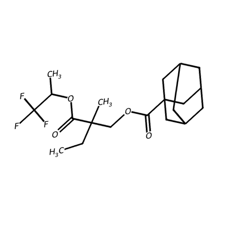 CCC(C)(COC(=O)C12CC3CC(CC(C3)C1)C2)C(=O)OC(C)C(F)(F)F